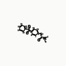 CN(C)C(=O)Sc1ccc(S(=O)(=O)c2ccccc2)cc1